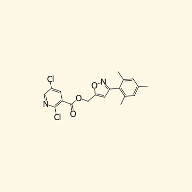 Cc1cc(C)c(-c2cc(COC(=O)c3cc(Cl)cnc3Cl)on2)c(C)c1